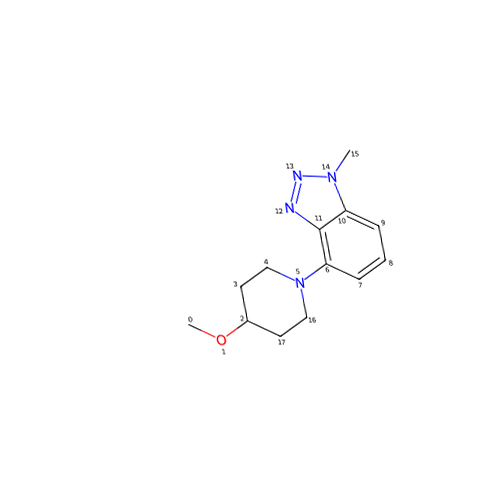 COC1CCN(c2cccc3c2nnn3C)CC1